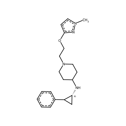 Cn1ccc(OCCN2CCC(N[C@@H]3CC3c3ccccc3)CC2)n1